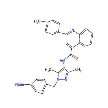 Cc1ccc(-c2cc(C(=O)Nc3c(C)nn(Cc4ccc(C#N)cc4)c3C)c3ccccc3n2)cc1